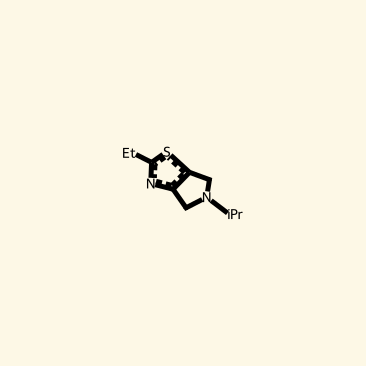 CCc1nc2c(s1)CN(C(C)C)C2